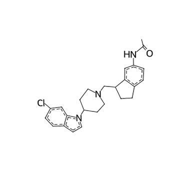 CC(=O)Nc1ccc2c(c1)C(CN1CCC(n3ccc4ccc(Cl)cc43)CC1)CC2